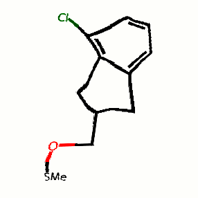 CSOCC1Cc2cccc(Cl)c2C1